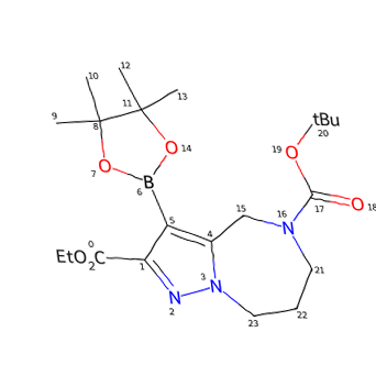 CCOC(=O)c1nn2c(c1B1OC(C)(C)C(C)(C)O1)CN(C(=O)OC(C)(C)C)CCC2